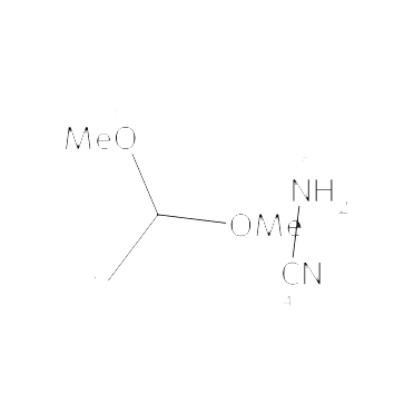 COC(C)OC.N#CN